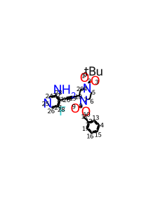 CC(C)(C)OC(=O)N1CCN(C(=O)OCc2ccccc2)C(C#Cc2c(N)cncc2F)C1